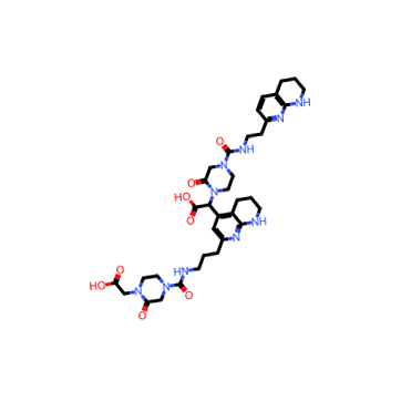 O=C(O)CN1CCN(C(=O)NCCCc2cc(C(C(=O)O)N3CCN(C(=O)NCCc4ccc5c(n4)NCCC5)CC3=O)c3c(n2)NCCC3)CC1=O